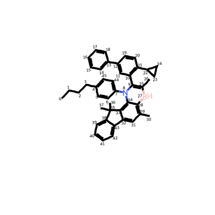 CCCCc1ccc(N2C(c3cc(-c4ccccc4)ccc3C3CC3)=C(C)Bc3c(C)cc4c(c32)C(C)(C)c2ccccc2-4)cc1